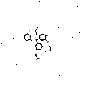 COCCNCc1cc([C@@](Cc2ccccc2)(NC[C@H](O)CC(F)(F)F)c2cc(F)cc(OC(F)(F)C(F)F)c2)ccc1F